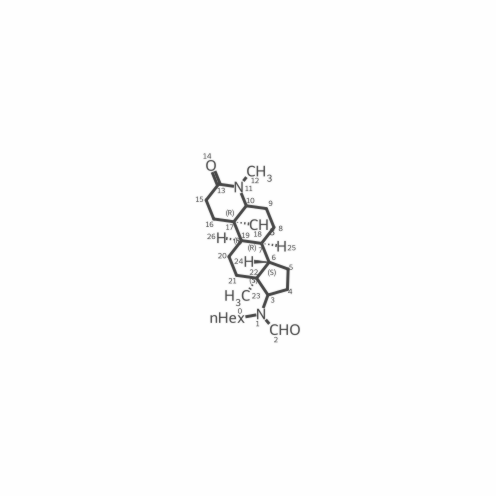 CCCCCCN(C=O)C1CC[C@H]2[C@@H]3CCC4N(C)C(=O)CC[C@]4(C)[C@@H]3CC[C@]12C